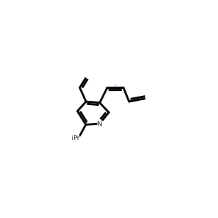 C=C/C=C\c1cnc(C(C)C)cc1C=C